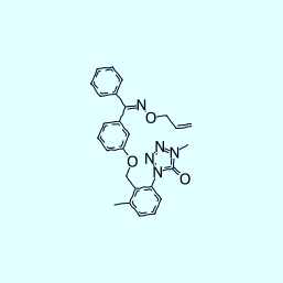 C=CCON=C(c1ccccc1)c1cccc(OCc2c(C)cccc2-n2nnn(C)c2=O)c1